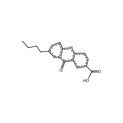 CCCCc1ccc2nc3ccc(C(=O)O)cc3c(=O)n2c1